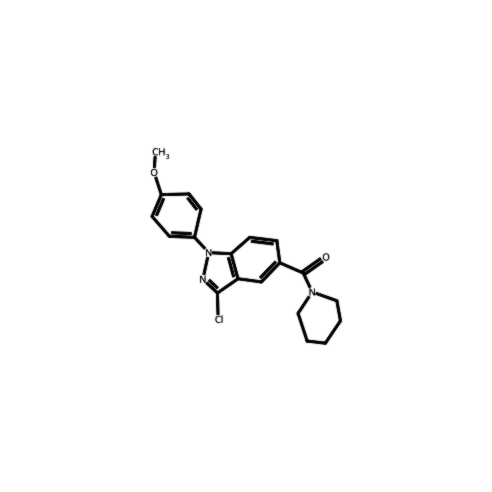 COc1ccc(-n2nc(Cl)c3cc(C(=O)N4CCCCC4)ccc32)cc1